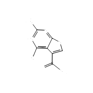 NC(=O)c1c[nH]c2nc(N)nc(N)c12